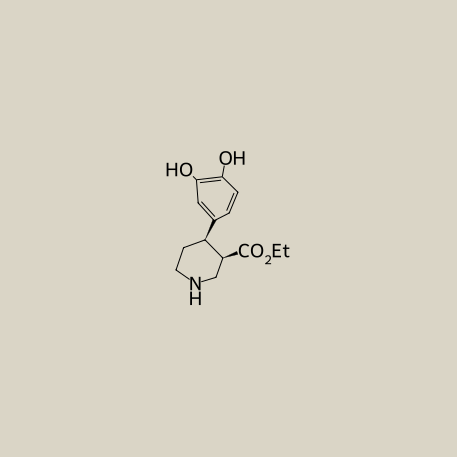 CCOC(=O)[C@H]1CNCC[C@H]1c1ccc(O)c(O)c1